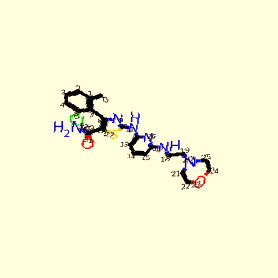 Cc1cccc(Cl)c1-c1nc(Nc2cccc(NCCN3CCOCC3)n2)sc1C(N)=O